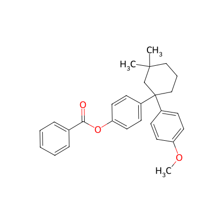 COc1ccc(C2(c3ccc(OC(=O)c4ccccc4)cc3)CCCC(C)(C)C2)cc1